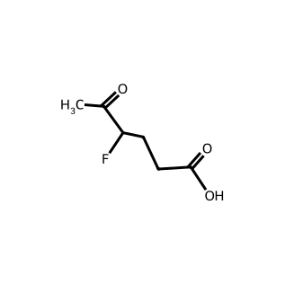 CC(=O)C(F)CCC(=O)O